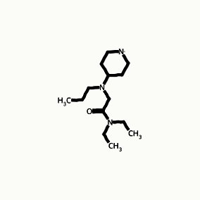 CCCN(CC(=O)N(CC)CC)C1CC[N]CC1